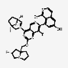 CCc1nccc2cc(O)cc(-c3ncc4c(N5C[C@H]6CC[C@@H](C5)N6)nc(OC[C@@]56CCCN5C[C@H](F)C6)nc4c3F)c12